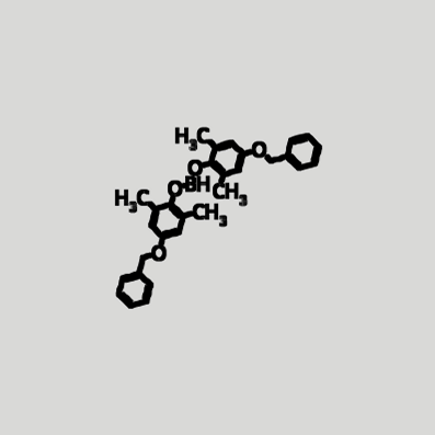 Cc1cc(OCc2ccccc2)cc(C)c1OBOc1c(C)cc(OCc2ccccc2)cc1C